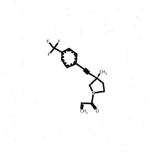 C=CC(=O)N1CC[C@@](C)(C#Cc2ccc(C(F)(F)F)cc2)C1